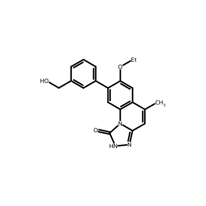 CCOc1cc2c(C)cc3n[nH]c(=O)n3c2cc1-c1cccc(CO)c1